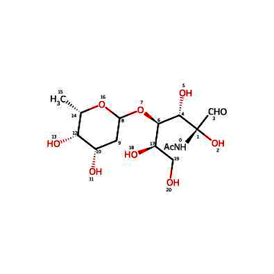 CC(=O)N[C@](O)(C=O)[C@@H](O)[C@H](OC1C[C@H](O)[C@H](O)[C@H](C)O1)[C@H](O)CO